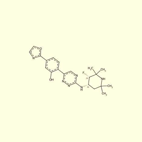 CC1(C)C[C@H](Nc2ncc(-c3ccc(-c4ncco4)cc3O)nn2)[C@H](F)C(C)(C)N1